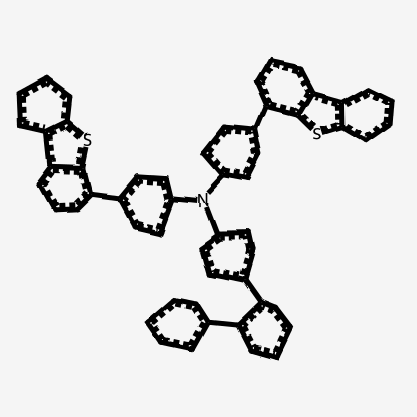 c1ccc(-c2ccccc2-c2ccc(N(c3ccc(-c4cccc5c4sc4ccccc45)cc3)c3ccc(-c4cccc5c4sc4ccccc45)cc3)cc2)cc1